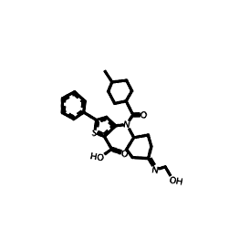 CC1CCC(C(=O)N(c2cc(-c3ccccc3)sc2C(=O)O)C2CCC(=NCO)CC2)CC1